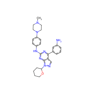 CN1CCN(c2ccc(Nc3nc(-c4cccc(N)c4)c4cnn(C5CCCCO5)c4n3)cc2)CC1